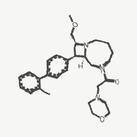 COC[C@@H]1[C@H](c2ccc(-c3ccccc3C)cc2)[C@@H]2CN(C(=O)CN3CCOCC3)CCCCN12